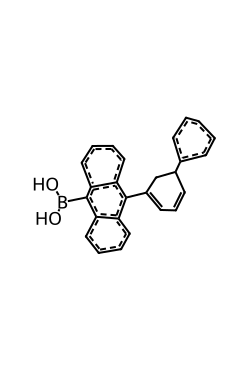 OB(O)c1c2ccccc2c(C2=CC=CC(c3ccccc3)C2)c2ccccc12